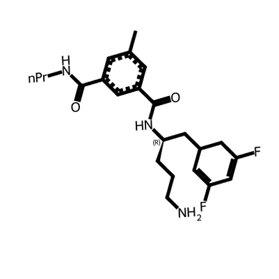 CCCNC(=O)c1cc(C)cc(C(=O)N[C@H](CCCN)CC2C=C(F)C=C(F)C2)c1